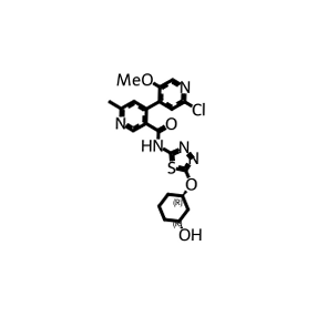 COc1cnc(Cl)cc1-c1cc(C)ncc1C(=O)Nc1nnc(O[C@@H]2CCC[C@@H](O)C2)s1